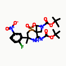 CC(C)(C)OC(=O)/N=C1/NC(C)(c2cc([N+](=O)[O-])ccc2F)CS(=O)(=O)C12CN(C(=O)OC(C)(C)C)C2